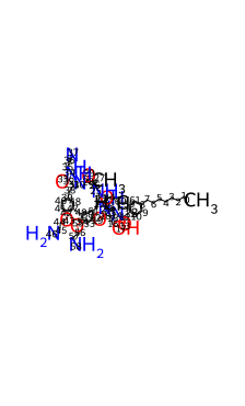 CCCCCCCCc1ccc(C(=O)NC(CO)C(=O)N(C)C2C(=O)NC(C)C(=O)NC(C(=O)NCC#N)Cc3ccc(OCCN)c(c3)-c3cc2ccc3OCCN)c(C)c1